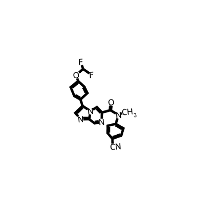 CN(C(=O)c1cn2c(-c3ccc(OC(F)F)cc3)cnc2cn1)c1ccc(C#N)cc1